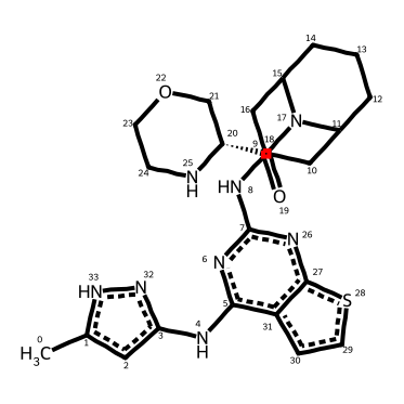 Cc1cc(Nc2nc(NC3CC4CCCC(C3)N4C(=O)[C@H]3COCCN3)nc3sccc23)n[nH]1